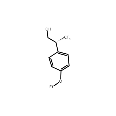 CCOc1ccc([C@H](CO)C(F)(F)F)cc1